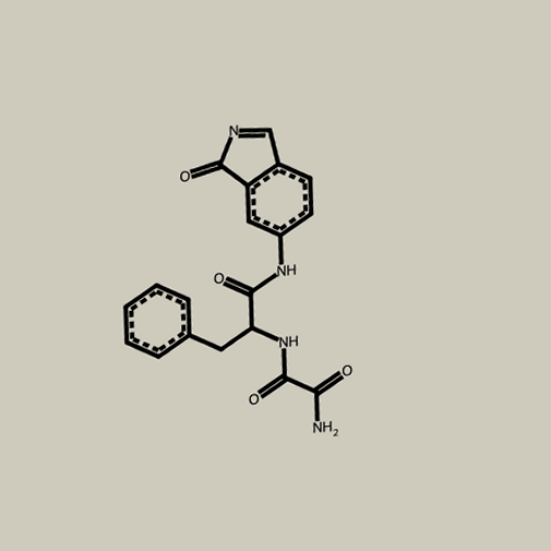 NC(=O)C(=O)NC(Cc1ccccc1)C(=O)Nc1ccc2c(c1)C(=O)N=C2